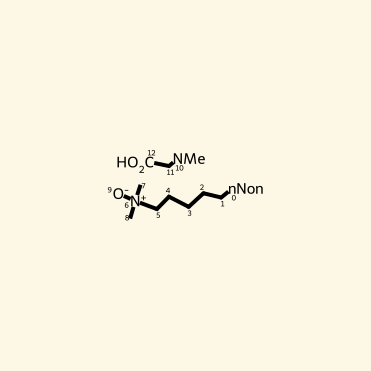 CCCCCCCCCCCCCC[N+](C)(C)[O-].CNCC(=O)O